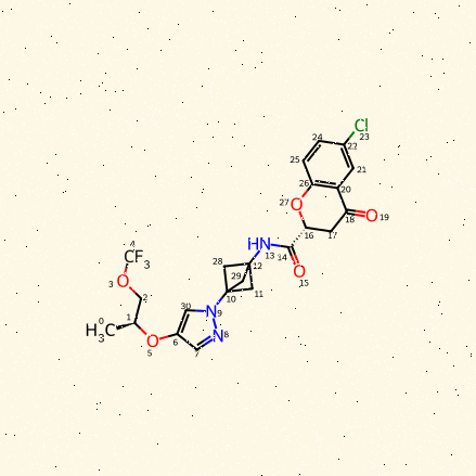 C[C@@H](COC(F)(F)F)Oc1cnn(C23CC(NC(=O)[C@H]4CC(=O)c5cc(Cl)ccc5O4)(C2)C3)c1